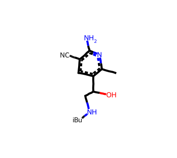 CCC(C)NCC(O)c1cc(C#N)c(N)nc1C